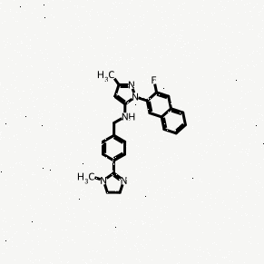 Cc1cc(NCc2ccc(C3=NCCN3C)cc2)n(-c2cc3ccccc3cc2F)n1